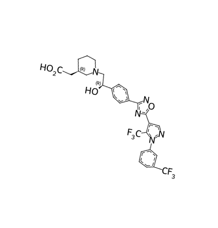 O=C(O)C[C@H]1CCCN(C[C@H](O)c2ccc(-c3noc(-c4cnn(-c5cccc(C(F)(F)F)c5)c4C(F)(F)F)n3)cc2)C1